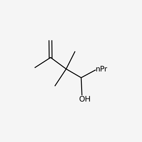 C=C(C)C(C)(C)C(O)CCC